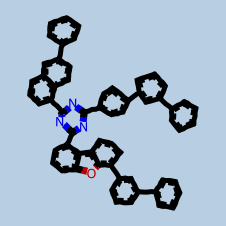 c1ccc(-c2cccc(-c3ccc(-c4nc(-c5cccc6cc(-c7ccccc7)ccc56)nc(-c5cccc6oc7c(-c8cccc(-c9ccccc9)c8)cccc7c56)n4)cc3)c2)cc1